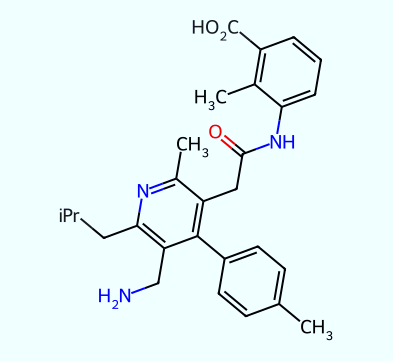 Cc1ccc(-c2c(CC(=O)Nc3cccc(C(=O)O)c3C)c(C)nc(CC(C)C)c2CN)cc1